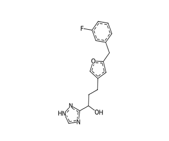 OC(CCc1coc(Cc2cccc(F)c2)c1)c1nc[nH]n1